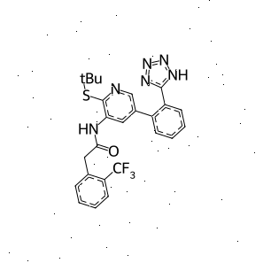 CC(C)(C)Sc1ncc(-c2ccccc2-c2nnn[nH]2)cc1NC(=O)Cc1ccccc1C(F)(F)F